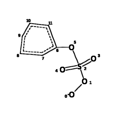 [O]OS(=O)(=O)Oc1ccccc1